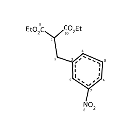 CCOC(=O)C(Cc1cccc([N+](=O)[O-])c1)C(=O)OCC